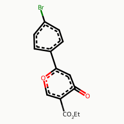 CCOC(=O)c1coc(-c2ccc(Br)cc2)cc1=O